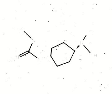 CN(C)[C@H]1CC[C@H](NC(=N)NN)CC1